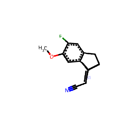 COc1cc2c(cc1F)CC/C2=C/C#N